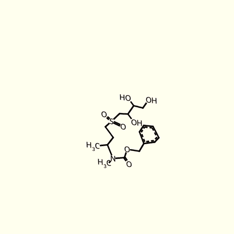 CC(CCS(=O)(=O)CC(O)C(O)CO)N(C)C(=O)OCc1ccccc1